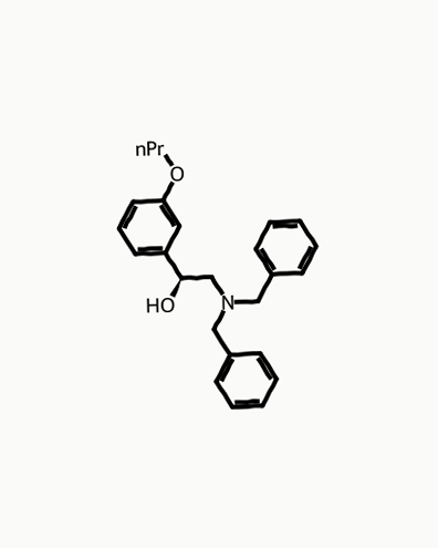 CCCOc1cccc([C@H](O)CN(Cc2ccccc2)Cc2ccccc2)c1